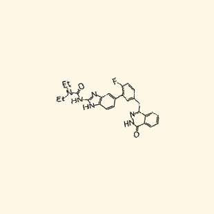 CCN(CC)C(=O)Nc1nc2cc(-c3cc(Cc4n[nH]c(=O)c5ccccc45)ccc3F)ccc2[nH]1